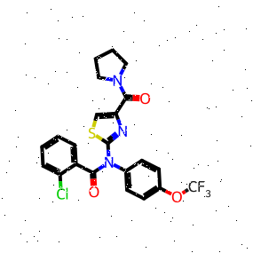 O=C(c1csc(N(C(=O)c2ccccc2Cl)c2ccc(OC(F)(F)F)cc2)n1)N1CCCC1